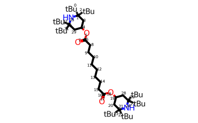 CC(C)(C)C1(C(C)(C)C)CC(OC(=O)CCCCCCCCC(=O)OC2CC(C(C)(C)C)(C(C)(C)C)NC(C(C)(C)C)(C(C)(C)C)C2)CC(C(C)(C)C)(C(C)(C)C)N1